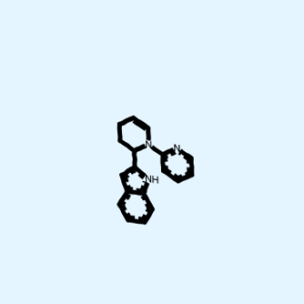 C1=CN(c2ccccn2)C(c2cc3ccccc3[nH]2)CC1